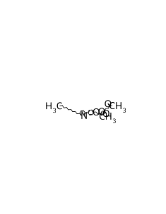 CCCCCCCCCc1ccc(-c2ccc(OCC(C)OC(=O)CCC(C)=O)cc2)nc1